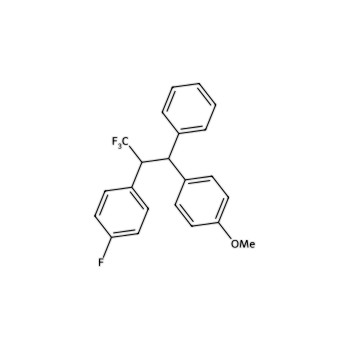 COc1ccc(C(c2ccccc2)C(c2ccc(F)cc2)C(F)(F)F)cc1